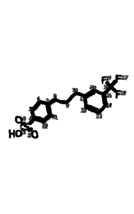 O=S(=O)(O)c1ccc(CCCc2cccc(C(F)(F)F)c2)cc1